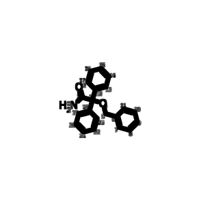 NC(=O)C(OCc1ccccc1)(c1ccccc1)c1ccccc1